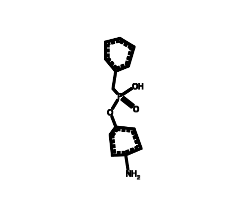 Nc1ccc(OP(=O)(O)Cc2ccccc2)cc1